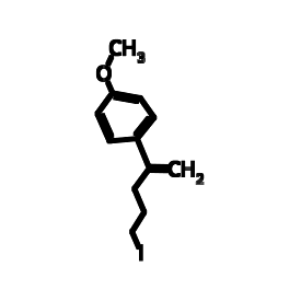 C=C(CCCI)c1ccc(OC)cc1